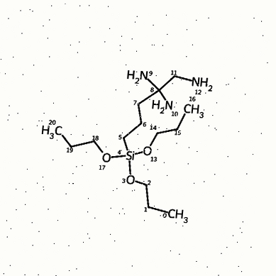 CCCO[Si](CCCC(N)(N)CN)(OCCC)OCCC